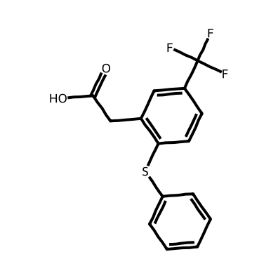 O=C(O)Cc1cc(C(F)(F)F)ccc1Sc1ccccc1